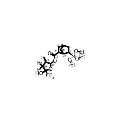 CCO[Si](OCC)(OCC)C1CC2CC(C(=O)OC3OC(O)(C(F)(F)F)C(F)(F)C3C)C1C2